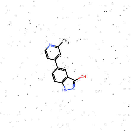 Cc1cc(-c2ccc3[nH]nc(O)c3c2)ccn1